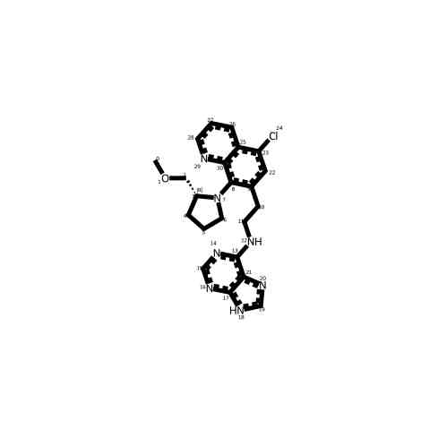 COC[C@H]1CCCN1c1c(CCNc2ncnc3[nH]cnc23)cc(Cl)c2cccnc12